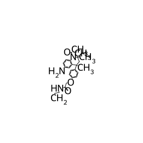 C=CCNC(=O)COc1ccc(C2(C)CC(C)(C)N(C(C)=O)c3ccc(N)cc32)cc1